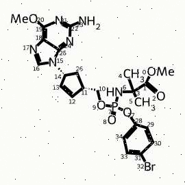 COC(=O)C(C)(C)NP(=O)(OC[C@@H]1C=C[C@H](n2cnc3c(OC)nc(N)nc32)C1)Oc1ccc(Br)cc1